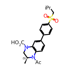 CC(=O)N1c2ccc(-c3ccc(S(=O)(=O)CC(C)C)cc3)cc2N(C(=O)O)C[C@@H]1C